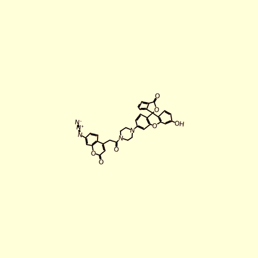 [N-]=[N+]=Nc1ccc2c(CC(=O)N3CCN(c4ccc5c(c4)Oc4cc(O)ccc4C54OC(=O)c5ccccc54)CC3)cc(=O)oc2c1